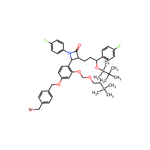 CC(C)(C)[Si](C)(C)OC(CCC1C(=O)N(c2ccc(F)cc2)C1c1ccc(OCc2ccc(CBr)cc2)cc1OCOCC[Si](C)(C)C)c1ccc(F)cc1